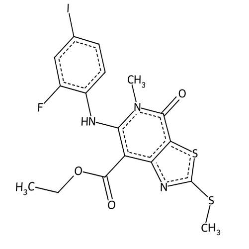 CCOC(=O)c1c(Nc2ccc(I)cc2F)n(C)c(=O)c2sc(SC)nc12